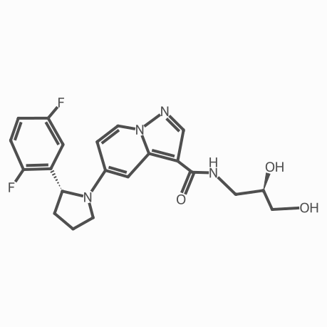 O=C(NC[C@@H](O)CO)c1cnn2ccc(N3CCC[C@@H]3c3cc(F)ccc3F)cc12